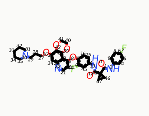 O=C(Nc1ccc(F)cc1)C1(C(=O)Nc2ccc(Oc3ccnc4cc(OCCCN5CCCCC5)c5c(c34)OCCO5)c(F)c2)CC1